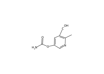 Cc1ncc(OC(N)=O)cc1CO